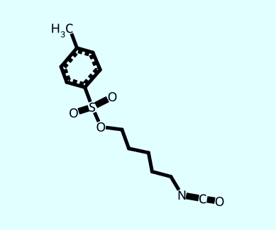 Cc1ccc(S(=O)(=O)OCCCCCN=C=O)cc1